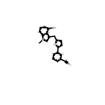 Cn1cc(Cc2ccc(-c3cccc(C#N)c3)s2)c2c(Cl)cccc21